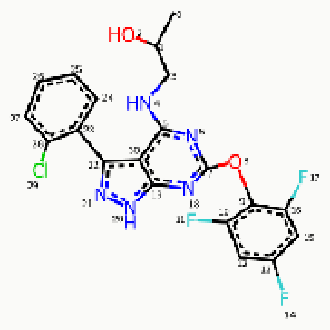 CC(O)CNc1nc(Oc2c(F)cc(F)cc2F)nc2[nH]nc(-c3ccccc3Cl)c12